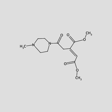 COC(=O)/C=C(\CC(=O)N1CCN(C)CC1)C(=O)OC